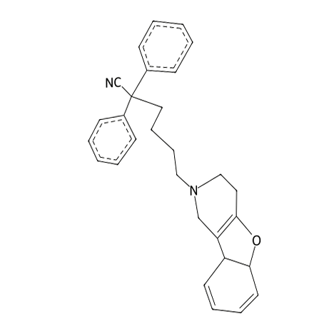 N#CC(CCCCN1CCC2=C(C1)C1C=CC=CC1O2)(c1ccccc1)c1ccccc1